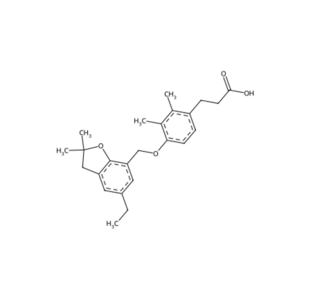 CCc1cc(COc2ccc(CCC(=O)O)c(C)c2C)c2c(c1)CC(C)(C)O2